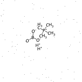 C[P+](C)(C)C.[H+].[H+].[O-]B([O-])[O-]